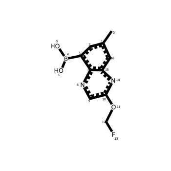 Cc1cc(B(O)O)c2ncc(OCF)nc2c1